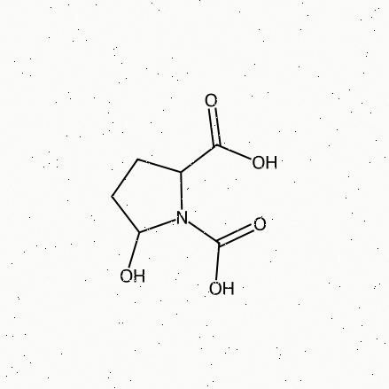 O=C(O)C1CCC(O)N1C(=O)O